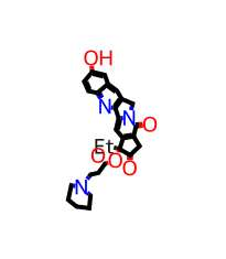 CCC1(OC(=O)CCN2CCCCC2)C(=O)Cc2c1cc1n(c2=O)Cc2cc3cc(O)ccc3nc2-1